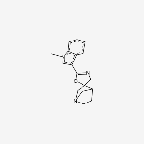 Cn1cc(C2=NCC3(CN4CCC3CC4)O2)c2ccccc21